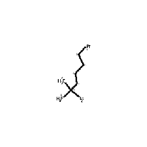 CCC(C)(P)CCCCC(C)C